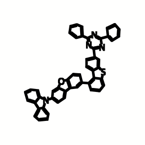 c1ccc(-c2nc(-c3ccccc3)nc(-c3ccc4c(c3)sc3cccc(-c5ccc6oc7cc(-n8c9ccccc9c9ccccc98)ccc7c6c5)c34)n2)cc1